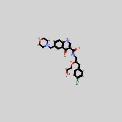 O=C(NCC(Cc1ccc(Cl)cc1)OCCO)c1c[nH]c2ccc(CN3CCOCC3)cc2c1=O